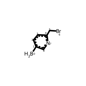 Bc1ccc(CBr)nc1